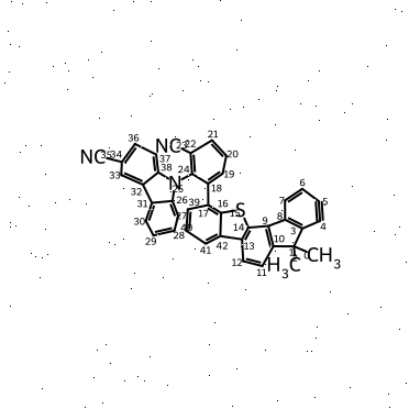 CC1(C)c2c#cccc2-c2c1ccc1c2sc2c(-c3cccc(C#N)c3-n3c4ccccc4c4cc(C#N)ccc43)cccc21